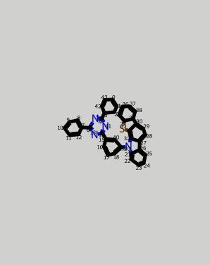 C1=CCC(c2nc(-c3ccccc3)nc(-c3cccc(-n4c5ccccc5c5ccc6c(c54)SC4C=CC=CC64)c3)n2)C=C1